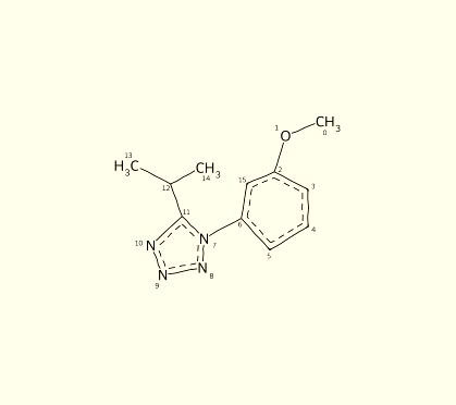 COc1cccc(-n2nnnc2C(C)C)c1